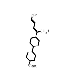 CCCC=CC=C(C(=O)O)[C@H]1CC[C@H]([C@H]2CC[C@H](CCCCC)CC2)CC1